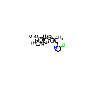 COC1C[C@H]2[C@@H]3CC[C@H]([C@H](C)/C=C/c4ncccc4Cl)[C@@]3(C)CC[C@@H]2[C@@]2(C)CC[C@@H]3CC132